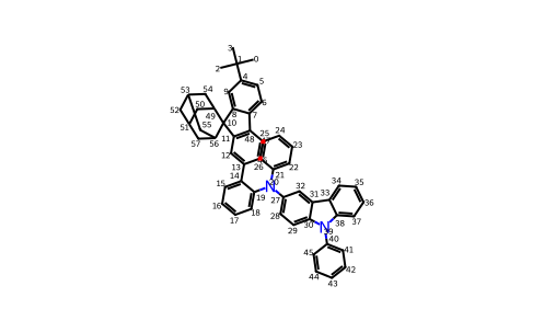 CC(C)(C)c1ccc2c(c1)C1(c3cc(-c4ccccc4N(c4ccccc4)c4ccc5c(c4)c4ccccc4n5-c4ccccc4)ccc3-2)C2CC3CC(C2)CC1C3